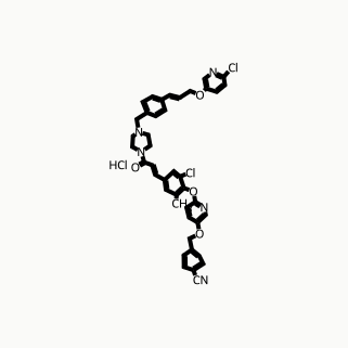 Cc1cc(C=CC(=O)N2CCN(Cc3ccc(C=CCOc4ccc(Cl)nc4)cc3)CC2)cc(Cl)c1Oc1ccc(OCc2ccc(C#N)cc2)cn1.Cl